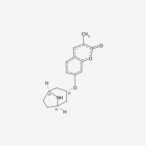 Cc1cc2ccc(O[C@@H]3C[C@H]4CC[C@@H](C3)N4)cc2oc1=O